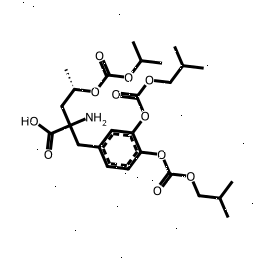 CC(C)COC(=O)Oc1ccc(CC(N)(C[C@H](C)OC(=O)OC(C)C)C(=O)O)cc1OC(=O)OCC(C)C